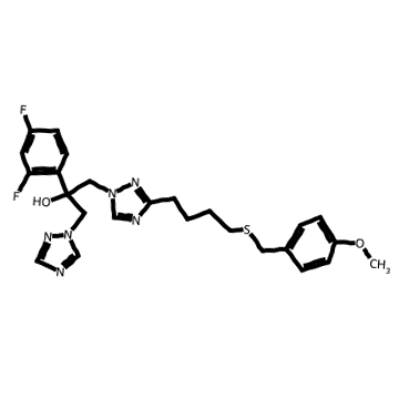 COc1ccc(CSCCCCc2ncn(CC(O)(Cn3cncn3)c3ccc(F)cc3F)n2)cc1